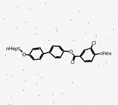 CCCCCCCOc1ccc(-c2ccc(OC(=O)c3ccc(CCCCCC)c(Cl)c3)cc2)cc1